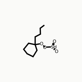 CCCCC1(OO[SH](=O)=O)CCCCC1